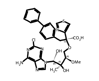 CO[C@H](CO[C@](Cc1ccc(-c2ccccc2)cc1)(C(=O)O)c1cscn1)[C@@](C)(O)[C@@H](O)n1cnc2c(N)nc(Cl)nc21